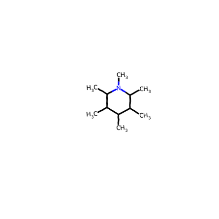 CC1C(C)C(C)N(C)C(C)C1C